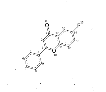 O=c1cc(-c2ccccc2)oc2ccc(F)cc12